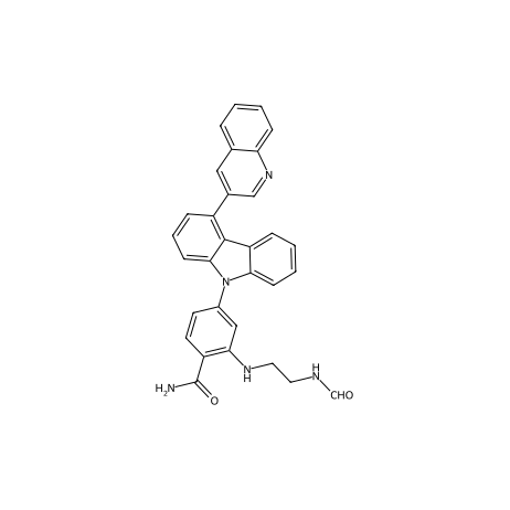 NC(=O)c1ccc(-n2c3ccccc3c3c(-c4cnc5ccccc5c4)cccc32)cc1NCCNC=O